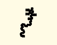 CC/C=C\C/C=C\C/C=C\C/C=C\C/C=C\C/C=C\CCC(=O)OC[C@H](O)[C@H]1OC(=O)C(O)=C1O